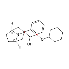 OC(COC1CCCCC1)CN1[C@@H]2CC[C@H]1CN(c1ccccc1)C2